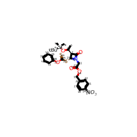 CC(O[Si](C)(C)C(C)(C)C)[C@H]1C(=O)N(CC(=O)OCc2ccc([N+](=O)[O-])cc2)[C@@H]1SC(=S)Oc1ccccc1